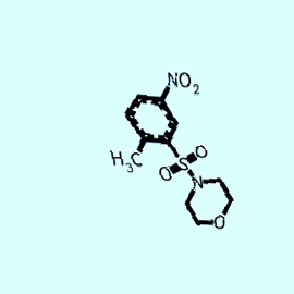 Cc1ccc([N+](=O)[O-])cc1S(=O)(=O)N1CCOCC1